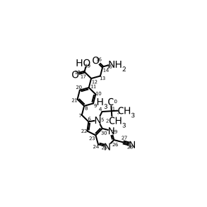 CC(C)(C)Cn1c(Cc2ccc(C(CC(N)=O)C(=O)O)cc2)cc2cnc(C#N)nc21